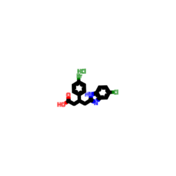 Cl.O=C(O)CC(Cc1nc2cc(Cl)ccc2[nH]1)c1ccc(Br)cc1